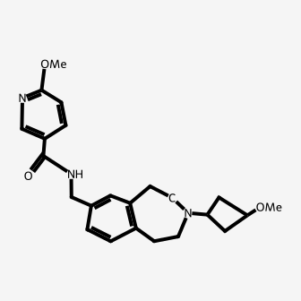 COc1ccc(C(=O)NCc2ccc3c(c2)CCN(C2CC(OC)C2)CC3)cn1